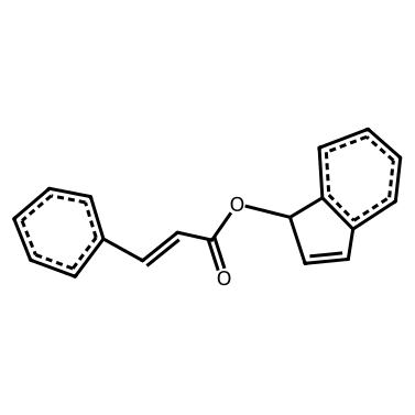 O=C(C=Cc1ccccc1)OC1C=Cc2ccccc21